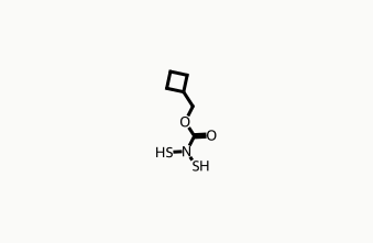 O=C(OCC1CCC1)N(S)S